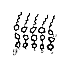 CCCCCCC[C@H]1CC[C@H](C2CC=C(c3ccc([S])cc3)CC2)CC1.CCCCCCC[C@H]1CC[C@H](C2CC=C(c3ccc([S])cc3)CC2)CC1.CCCCCCC[C@H]1CC[C@H](C2CC=C(c3ccc([S])cc3)CC2)CC1.CCCCCCC[C@H]1CC[C@H](C2CC=C(c3ccc([S])cc3)CC2)CC1.CCCCCCC[C@H]1CC[C@H](C2CC=C(c3ccc([S])cc3)CC2)CC1.F.F.F.F.F